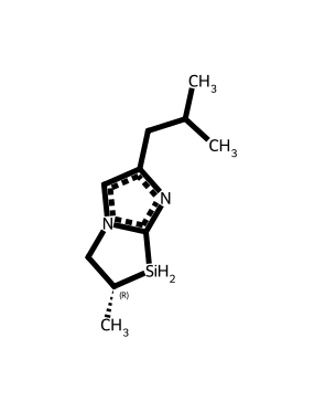 CC(C)Cc1cn2c(n1)[SiH2][C@H](C)C2